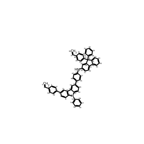 C=Cc1ccc(-c2ccc3c(c2)c2cc(-c4ccc(Nc5ccc6c(c5)C(c5ccccc5)(c5ccc(C=C)cc5)c5ccccc5-6)cc4)ccc2n3-c2ccccc2)cc1